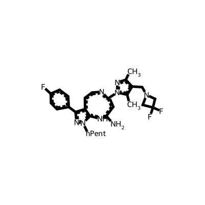 CCCCCn1nc(-c2ccc(F)cc2)c2ccnc(-n3nc(C)c(CN4CC(F)(F)C4)c3C)cc(N)[nH]c21